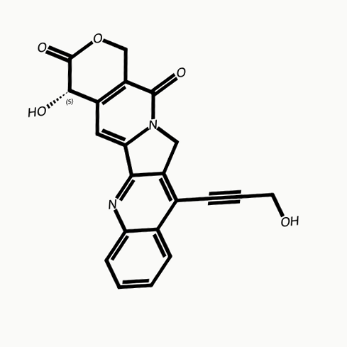 O=C1OCc2c(cc3n(c2=O)Cc2c-3nc3ccccc3c2C#CCO)[C@@H]1O